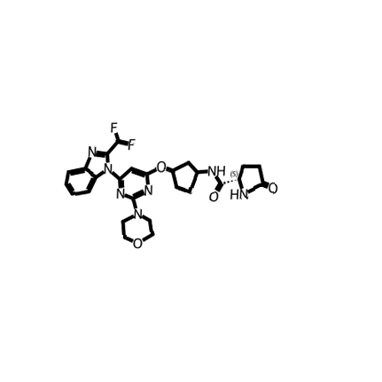 O=C1CC[C@@H](C(=O)NC2CCC(Oc3cc(-n4c(C(F)F)nc5ccccc54)nc(N4CCOCC4)n3)C2)N1